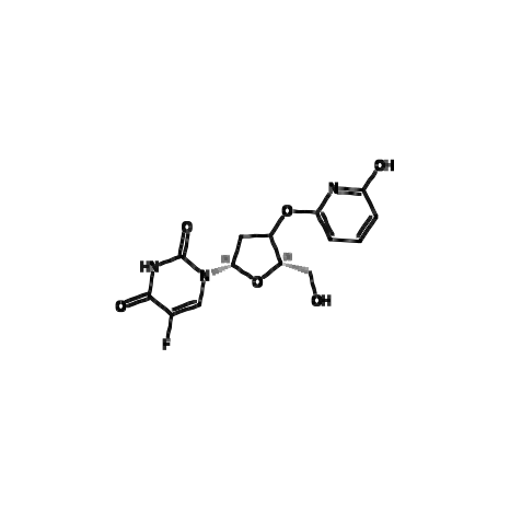 O=c1[nH]c(=O)n([C@@H]2CC(Oc3cccc(O)n3)[C@H](CO)O2)cc1F